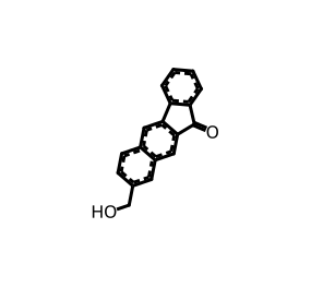 O=C1c2ccccc2-c2cc3ccc(CO)cc3cc21